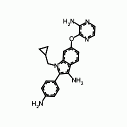 Nc1ccc(-c2c(N)c3ccc(Oc4nccnc4N)cc3n2CC2CC2)cc1